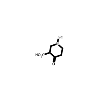 CCCN1CCC(=O)C(C(=O)O)C1